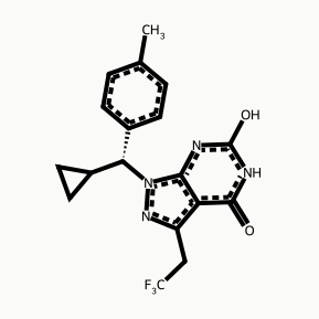 Cc1ccc([C@@H](C2CC2)n2nc(CC(F)(F)F)c3c(=O)[nH]c(O)nc32)cc1